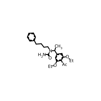 CCOc1cc(C(C)N(CCCCc2ccccc2)C(N)=O)cc(OCC)c1C(C)=O